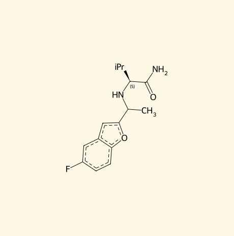 CC(N[C@H](C(N)=O)C(C)C)c1cc2cc(F)ccc2o1